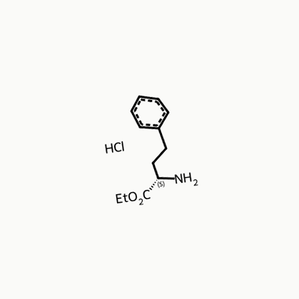 CCOC(=O)[C@@H](N)CCc1ccccc1.Cl